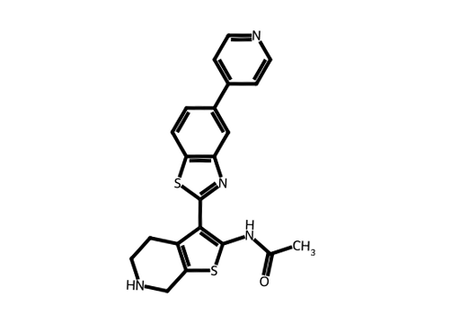 CC(=O)Nc1sc2c(c1-c1nc3cc(-c4ccncc4)ccc3s1)CCNC2